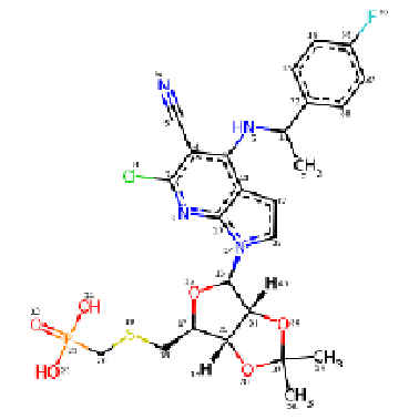 CC(Nc1c(C#N)c(Cl)nc2c1ccn2[C@@H]1O[C@H](CSCP(=O)(O)O)[C@H]2OC(C)(C)O[C@H]21)c1ccc(F)cc1